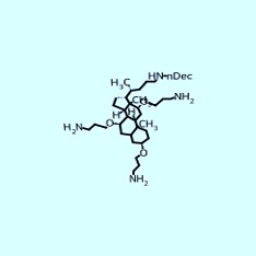 CCCCCCCCCCNCCC[C@@H](C)[C@H]1CC[C@H]2C3[C@H](OCCCN)CC4C[C@H](OCCCN)CCC4(C)[C@H]3C[C@H](OCCCN)C12C